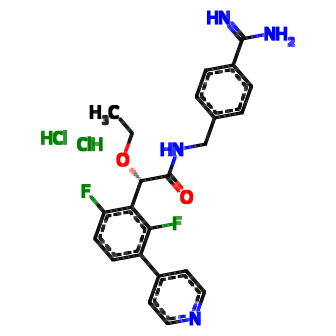 CCO[C@H](C(=O)NCc1ccc(C(=N)N)cc1)c1c(F)ccc(-c2ccncc2)c1F.Cl.Cl